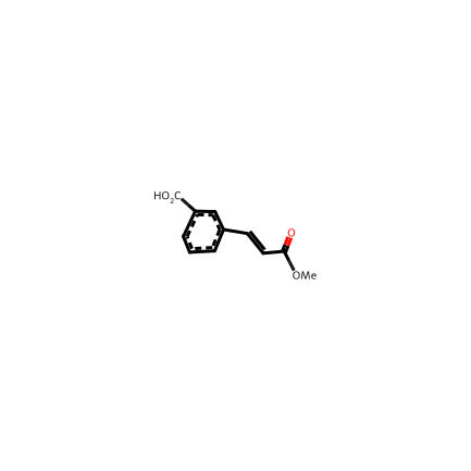 COC(=O)C=Cc1cccc(C(=O)O)c1